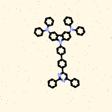 c1ccc(-c2cc(-c3ccc(-c4ccc(-n5c6ccc(N(c7ccccc7)c7ccccc7)cc6c6cc(N(c7ccccc7)c7ccccc7)ccc65)cc4)cc3)nc(-c3ccccc3)n2)cc1